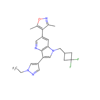 Cc1noc(C)c1-c1cnc2c(-c3cnn(CC(F)(F)F)c3)cn(CC3CC(F)(F)C3)c2c1